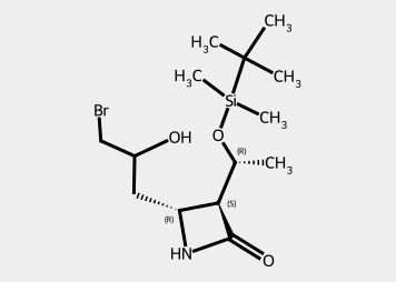 C[C@@H](O[Si](C)(C)C(C)(C)C)[C@H]1C(=O)N[C@@H]1CC(O)CBr